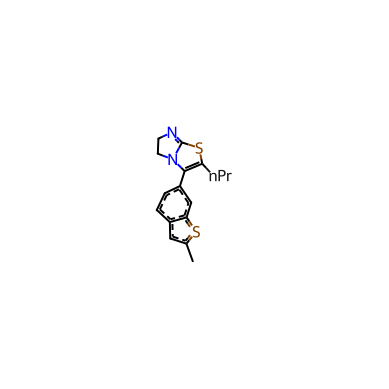 CCCC1=C(c2ccc3cc(C)sc3c2)N2CCN=C2S1